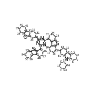 c1ccc(-n2c3ccccc3c3ccc(-c4cccc5c4sc4cccc(-c6nc(-c7ccc8c(c7)oc7ccccc78)nc(-c7cccc8c7sc7ccccc78)n6)c45)cc32)cc1